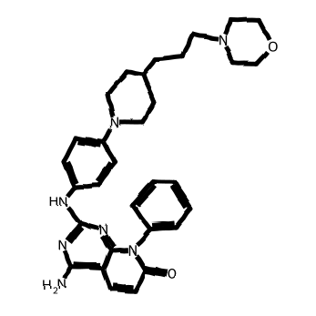 Nc1nc(Nc2ccc(N3CCC(CCCN4CCOCC4)CC3)cc2)nc2c1ccc(=O)n2-c1ccccc1